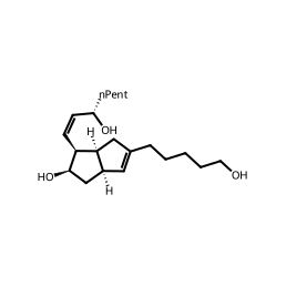 CCCCC[C@H](O)/C=C\[C@H]1[C@H]2CC(CCCCCO)=C[C@H]2C[C@H]1O